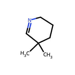 CC1(C)C=NCCC1